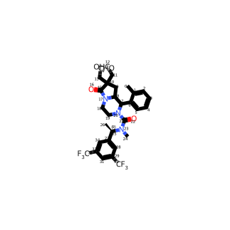 Cc1ccccc1C1C2CC(CC=O)(CC=O)C(=O)N2CCN1C(=O)N(C)[C@H](C)c1cc(C(F)(F)F)cc(C(F)(F)F)c1